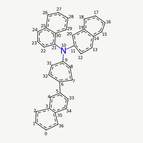 c1ccc2cc(-c3ccc(N(c4ccc5ccccc5c4)c4cccc5ccccc45)cc3)ccc2c1